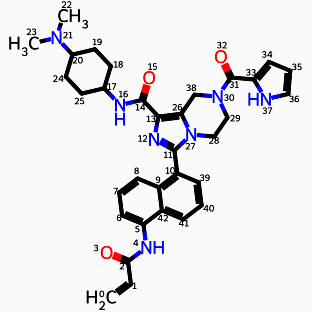 C=CC(=O)Nc1cccc2c(-c3nc(C(=O)NC4CCC(N(C)C)CC4)c4n3CCN(C(=O)c3ccc[nH]3)C4)cccc12